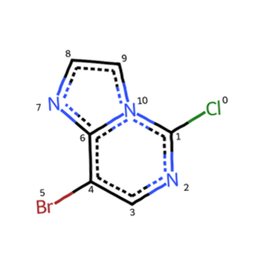 Clc1ncc(Br)c2nccn12